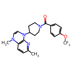 Cc1ccc2c(n1)N(C1CCN(C(=O)c3ccc(OC(F)(F)F)cc3)CC1)C=CN2C